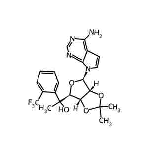 CC1(C)O[C@@H]2[C@H](O1)[C@@H](C(C)(O)c1ccccc1C(F)(F)F)O[C@H]2n1ccc2c(N)ncnc21